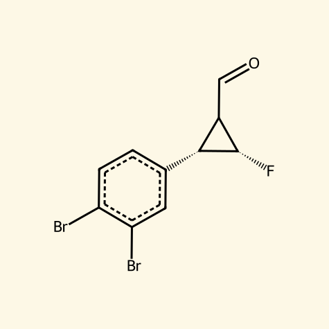 O=CC1[C@@H](c2ccc(Br)c(Br)c2)[C@H]1F